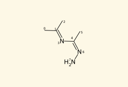 CC(C)=N/C(C)=N\N